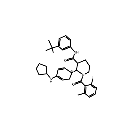 Cc1cccc(F)c1C(=O)N1CCCC(C(=O)Nc2cccc(C(C)(C)C)c2)C1[C@@H]1C=CC(NC2CCCC2)=CC1